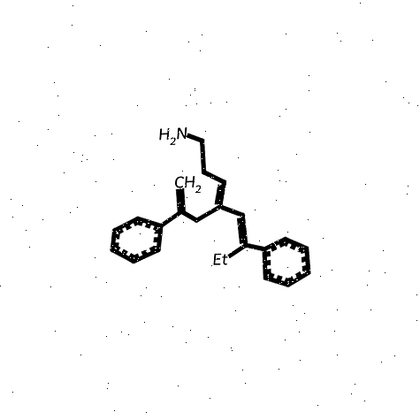 C=C(CC(=C\CCN)/C=C(\CC)c1ccccc1)c1ccccc1